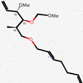 C=CCC/C=C/COC[C@@H](C)[C@H](OCOC)[C@H](C=C)OC